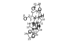 COCC[C@]12CCC3(C[C@@H]1CC[C@@H]1[C@@H]2CC[C@@]2(C)[C@H]1CCC21OCCO1)OCCO3